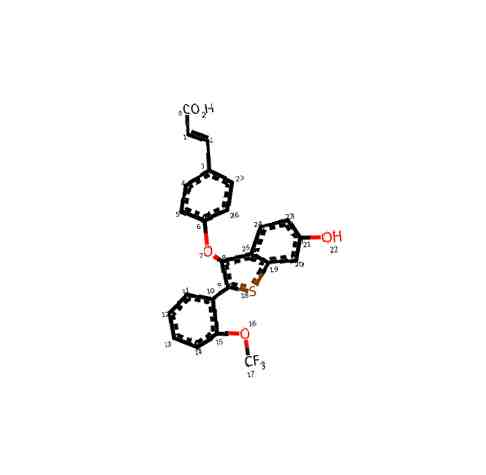 O=C(O)/C=C/c1ccc(Oc2c(-c3ccccc3OC(F)(F)F)sc3cc(O)ccc23)cc1